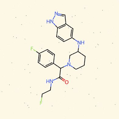 O=C(NCCF)C(c1ccc(F)cc1)N1CCCC(Nc2ccc3[nH]ncc3c2)C1